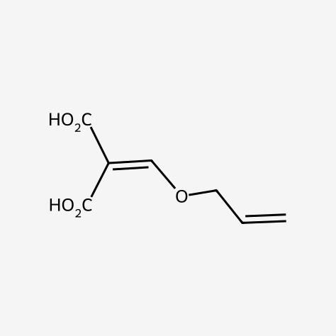 C=CCOC=C(C(=O)O)C(=O)O